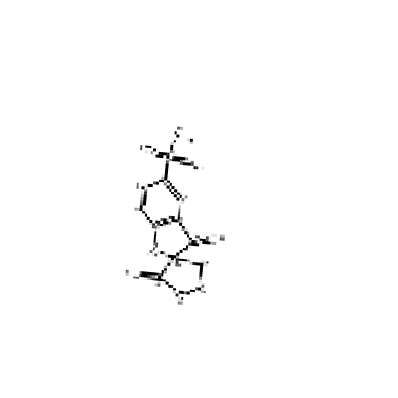 NS(=O)(=O)c1ccc2c(c1)C(=O)C1(CCOC1=O)S2